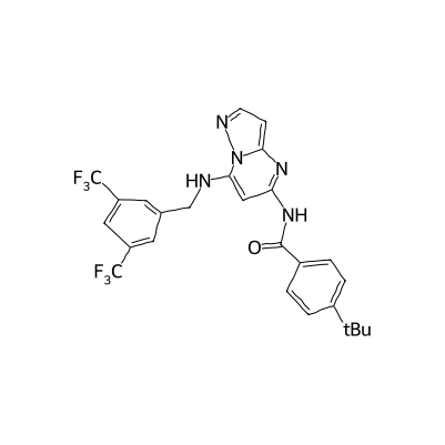 CC(C)(C)c1ccc(C(=O)Nc2cc(NCc3cc(C(F)(F)F)cc(C(F)(F)F)c3)n3nccc3n2)cc1